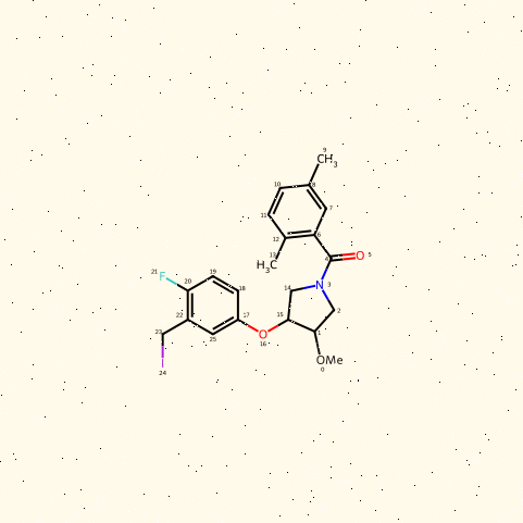 COC1CN(C(=O)c2cc(C)ccc2C)CC1Oc1ccc(F)c(CI)c1